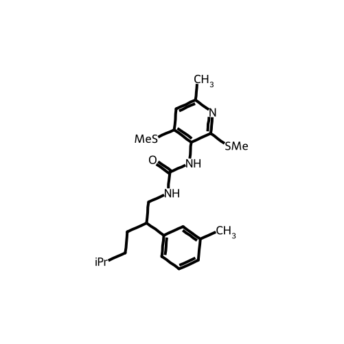 CSc1cc(C)nc(SC)c1NC(=O)NCC(CCC(C)C)c1cccc(C)c1